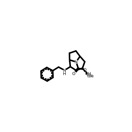 CC1CC(NCc2ccccc2)C2CCC(C1)N2C(=O)OC(C)(C)C